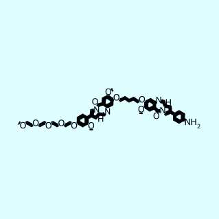 COCCOCCOCCOCCOc1ccc(C2=CN3C(=O)c4cc(OC)c(OCCCCCOc5cc6c(cc5OC)C(=O)N5C=C(c7ccc(N)cc7)C[C@@H]5C=N6)cc4N=C[C@H]3C2)c(OC)c1